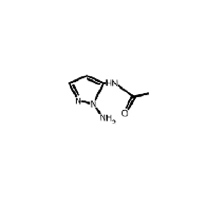 CC(=O)Nc1ccnn1N